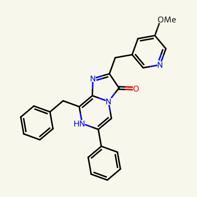 COc1cncc(Cc2nc3c(Cc4ccccc4)[nH]c(-c4ccccc4)cn-3c2=O)c1